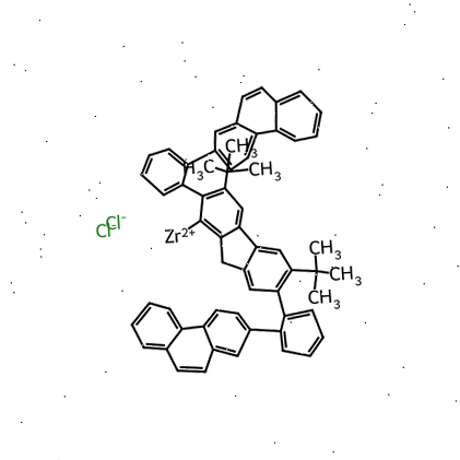 CC(C)(C)c1cc2c(cc1-c1ccccc1-c1ccc3c(ccc4ccccc43)c1)Cc1c-2cc(C(C)(C)C)c(-c2ccccc2-c2ccc3c(ccc4ccccc43)c2)[c]1[Zr+2].[Cl-].[Cl-]